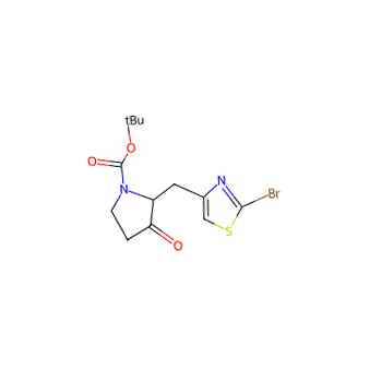 CC(C)(C)OC(=O)N1CCC(=O)C1Cc1csc(Br)n1